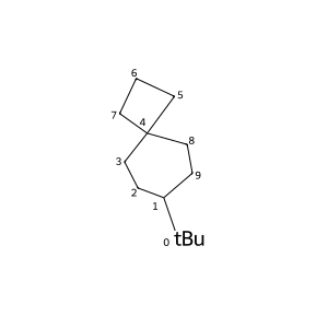 CC(C)(C)C1CCC2(CCC2)CC1